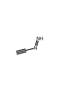 C#CN=N